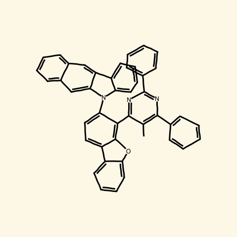 Cc1c(-c2ccccc2)nc(-c2ccccc2)nc1-c1c(-n2c3ccccc3c3cc4ccccc4cc32)ccc2c1oc1ccccc12